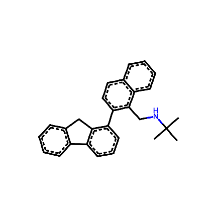 CC(C)(C)NCc1c(-c2cccc3c2Cc2ccccc2-3)ccc2ccccc12